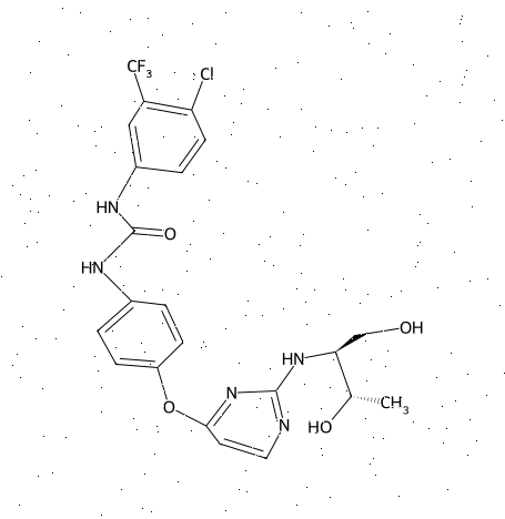 C[C@H](O)[C@H](CO)Nc1nccc(Oc2ccc(NC(=O)Nc3ccc(Cl)c(C(F)(F)F)c3)cc2)n1